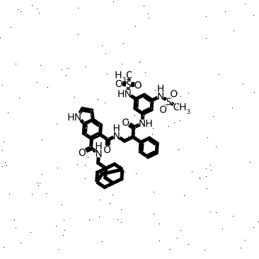 CS(=O)(=O)Nc1cc(NC(=O)C(CNC(=O)c2cc3cc[nH]c3cc2C(=O)NCC23CC4CC(CC(C4)C2)C3)c2ccccc2)cc(NS(C)(=O)=O)c1